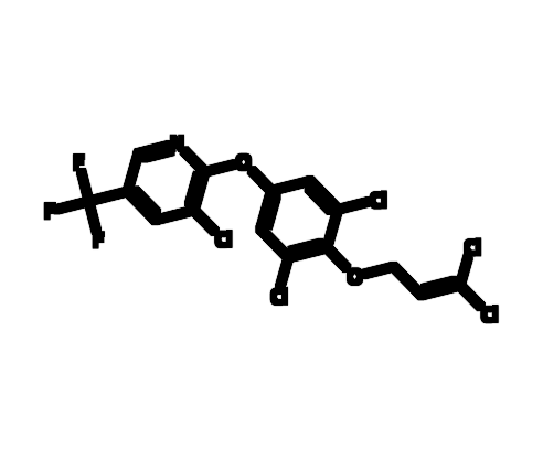 FC(F)(F)c1cnc(Oc2cc(Cl)c(OCC=C(Cl)Cl)c(Cl)c2)c(Cl)c1